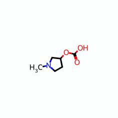 CN1CCC(OC(=O)O)C1